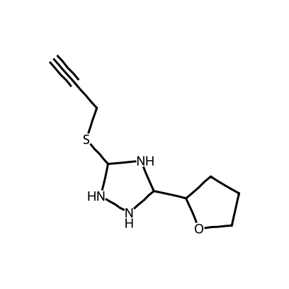 C#CCSC1NNC(C2CCCO2)N1